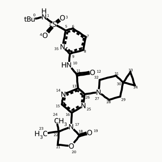 CC(C)(C)NS(=O)(=O)c1cccc(NC(=O)c2ncc(N3C(=O)OCC3(C)C)nc2N2CCC3(CC2)CC3)n1